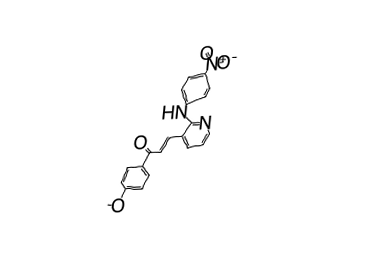 COc1ccc(C(=O)C=Cc2cccnc2Nc2ccc([N+](=O)[O-])cc2)cc1